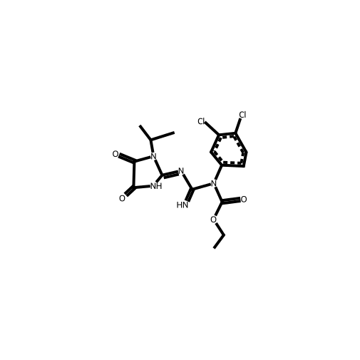 CCOC(=O)N(C(=N)N=C1NC(=O)C(=O)N1C(C)C)c1ccc(Cl)c(Cl)c1